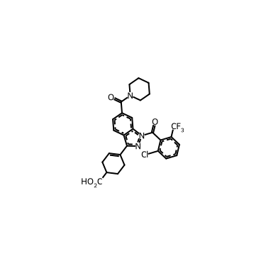 O=C(O)C1CC=C(c2nn(C(=O)c3c(Cl)cccc3C(F)(F)F)c3cc(C(=O)N4CCCCC4)ccc23)CC1